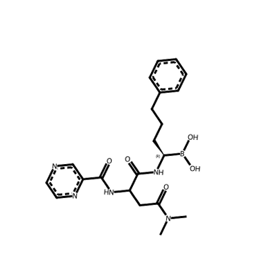 CN(C)C(=O)CC(NC(=O)c1cnccn1)C(=O)N[C@@H](CCCc1ccccc1)B(O)O